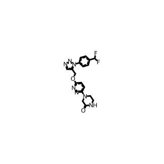 O=C1CN(c2ccc(OCc3cnnn3-c3ccc(C(F)F)cc3)nn2)CCN1